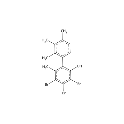 Cc1ccc(-c2c(C)c(Br)c(Br)c(Br)c2O)c(C)c1C